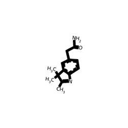 CC1=Nc2ccc(CC(N)=O)cc2C1(C)C